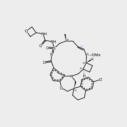 CO[C@H]1/C=C/C[C@H](C)CS(=O)(NC(=O)NC2COC2)=NC(=O)c2ccc3c(c2)N(C[C@@H]2CC[C@H]21)C[C@@]1(CCCc2cc(Cl)ccc21)CO3